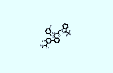 CNC(=O)c1cc(-c2ccccc2[C@H](Cc2cccc(F)c2)NC(=O)Cn2nc(C(F)(F)F)c3ccccc32)ccc1F